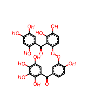 O=C(c1ccc(O)c(OOc2ccc(O)c(O)c2C(=O)c2cc(O)c(O)cc2O)c1)c1cc(O)c(O)c(O)c1O